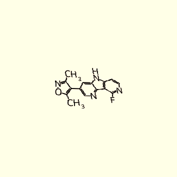 Cc1noc(C)c1-c1cnc2c(c1)[nH]c1ccnc(F)c12